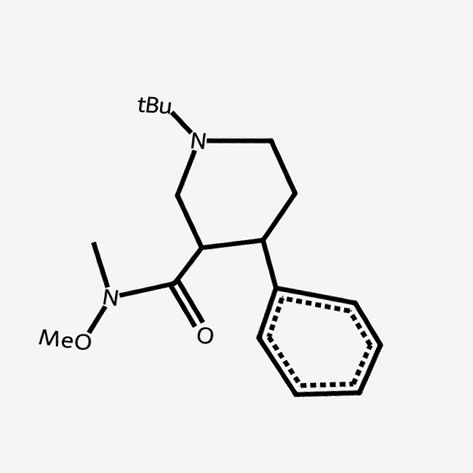 CON(C)C(=O)C1CN(C(C)(C)C)CCC1c1ccccc1